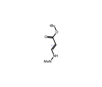 CNN/C=C/C(=O)OC(C)(C)C